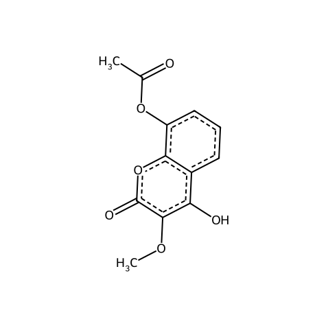 COc1c(O)c2cccc(OC(C)=O)c2oc1=O